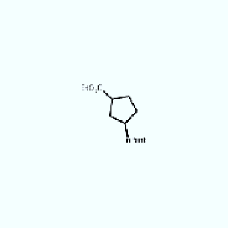 CCCCCC1CCC(C(=O)OCC)C1